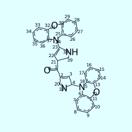 O=C(C1=CC(N2c3ccccc3Oc3ccccc32)N=C1)C1C=C(N2c3ccccc3Oc3ccccc32)NC1